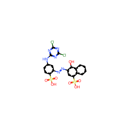 O=S(=O)(O)c1ccc(Nc2nc(Cl)nc(Cl)n2)cc1/N=N/c1cc(S(=O)(=O)O)c2ccccc2c1O